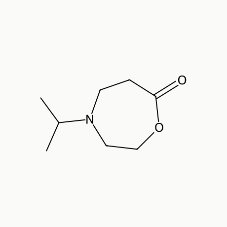 CC(C)N1CCOC(=O)CC1